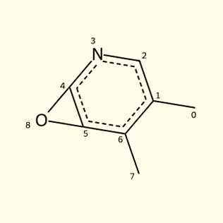 Cc1cnc2c(c1C)O2